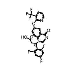 O=C(O)C[C@H](c1c(F)cc(F)cc1F)n1cnc(=O)c2cc(Oc3ncccc3C(F)(F)F)ccc21